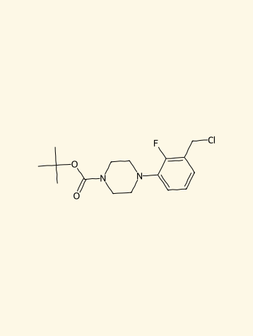 CC(C)(C)OC(=O)N1CCN(c2cccc(CCl)c2F)CC1